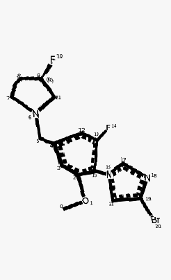 COc1cc(CN2CC[C@@H](F)C2)cc(F)c1-n1cnc(Br)c1